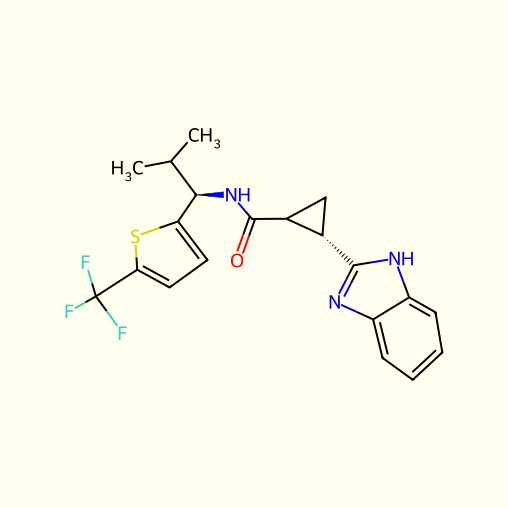 CC(C)[C@@H](NC(=O)C1C[C@@H]1c1nc2ccccc2[nH]1)c1ccc(C(F)(F)F)s1